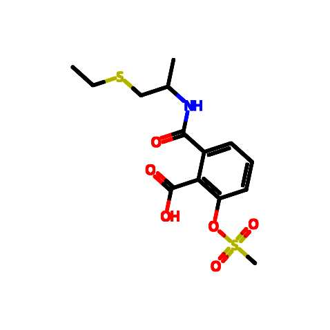 CCSCC(C)NC(=O)c1cccc(OS(C)(=O)=O)c1C(=O)O